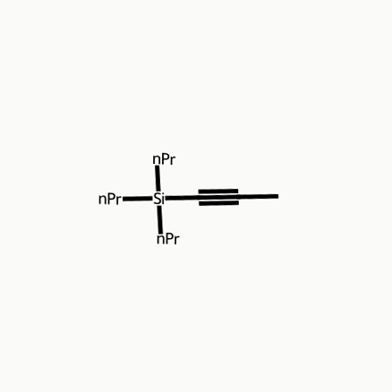 CC#C[Si](CCC)(CCC)CCC